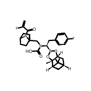 C=C(F)C(=O)N1C2CCC1(CN(C(=O)O)[C@@H](Cc1ccc(F)cc1)B1O[C@@H]3C[C@@H]4C[C@@H](C4(C)C)[C@]3(C)O1)CC2